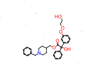 O=C(OCC1CCN(Cc2ccccc2)CC1)[C@@](O)(c1ccccc1)c1cccc(OOCCO)c1